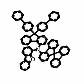 c1ccc(-c2ccc(C3(c4ccc(-c5ccccc5)cc4)c4ccccc4-c4c(N(c5cccc6c5-c5ccccc5C65c6ccccc6-c6ccccc65)c5cccc6c5oc5ccccc56)cccc43)cc2)cc1